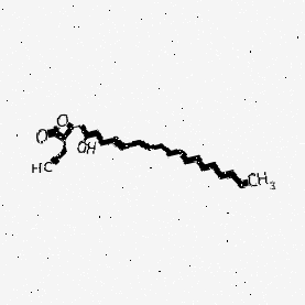 C#CC[C@H]1C(=O)O[C@@H]1C[C@H](O)CCCCCCCCCCCCCCCCC